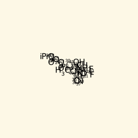 CC1=CC(Nc2cc(C(F)F)ccn2)(C(C)(O)[C@H]2CC[C@H](C(=O)OCOC(=O)OC(C)C)CC2)NC(c2cccnc2)=C1